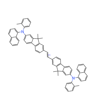 Cc1ccccc1N(c1ccc2c(c1)C(C)(C)c1cc(/C=C/c3ccc4c(c3)C(C)(C)c3cc(N(c5ccccc5C)c5cccc6ccccc56)ccc3-4)ccc1-2)c1cccc2ccccc12